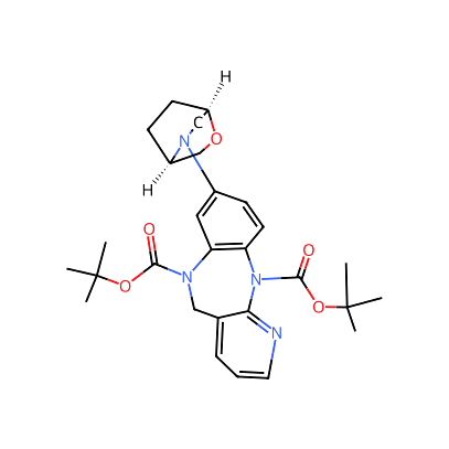 CC(C)(C)OC(=O)N1Cc2cccnc2N(C(=O)OC(C)(C)C)c2ccc(N3C[C@H]4CC[C@@H]3CO4)cc21